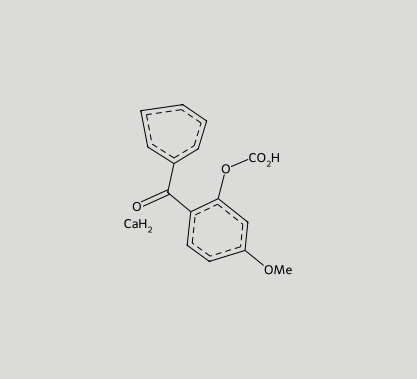 COc1ccc(C(=O)c2ccccc2)c(OC(=O)O)c1.[CaH2]